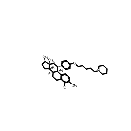 C[C@]12C[C@H](c3ccc(OCCCCCN4CCCCC4)cc3)[C@@H]3c4ccc(O)c(Cl)c4CC[C@H]3[C@@H]1CC[C@@H]2O